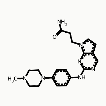 CN1CCN(c2ccc(Nc3ncc4ccn(CCC(N)=O)c4n3)cc2)CC1